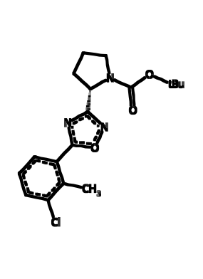 Cc1c(Cl)cccc1-c1nc([C@@H]2CCCN2C(=O)OC(C)(C)C)no1